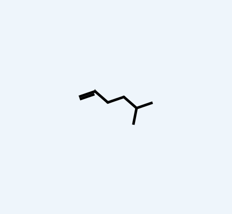 C=[C]CCC(C)C